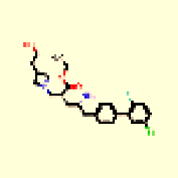 CCOC(=O)[C@@H](C[C@H](N)Cc1ccc(-c2cc(Cl)ccc2F)cc1)CN1CC(CCO)C1